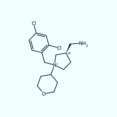 NC[C@H]1CC[N+](Cc2ccc(Cl)cc2Cl)(C2CCOCC2)C1